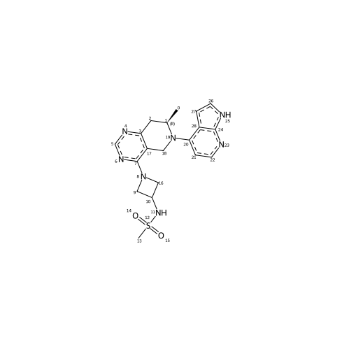 C[C@@H]1Cc2ncnc(N3CC(NS(C)(=O)=O)C3)c2CN1c1ccnc2[nH]ccc12